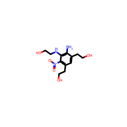 Nc1c([CH]CO)cc(CCO)c([N+](=O)[O-])c1NCCO